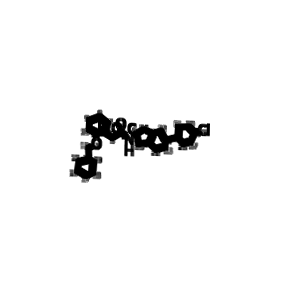 CCOC(=O)C1(NC(=O)Cc2ccccc2OCc2ccccc2)Cc2ccc(-c3ccc(Cl)cc3)cc2C1